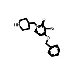 O=c1c(Br)c(OCc2ccccc2)ccn1CC1CCNCC1